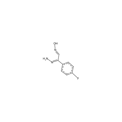 NN=C(C=NO)c1ccc(F)cc1